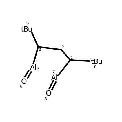 CC(C)(C)[CH](C[CH]([Al]=[O])C(C)(C)C)[Al]=[O]